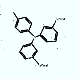 CCCCCc1cccc(N(c2ccc(C)cc2)c2cccc(CCCCC)c2)c1